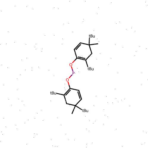 CC(C)(C)C1=C(O[P]OC2=C(C(C)(C)C)CC(C)(C(C)(C)C)C=C2)C=CC(C)(C(C)(C)C)C1